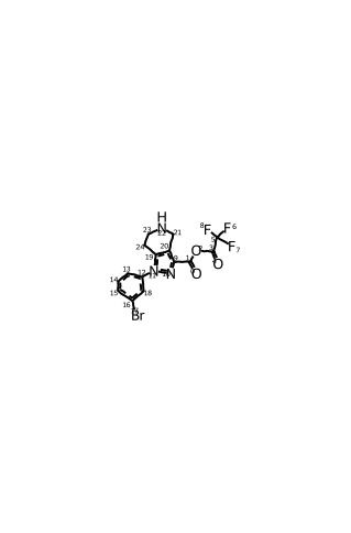 O=C(OC(=O)C(F)(F)F)c1nn(-c2cccc(Br)c2)c2c1CNCC2